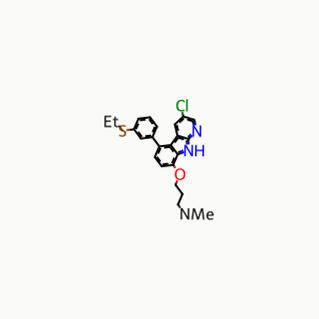 CCSc1cccc(-c2ccc(OCCCNC)c3[nH]c4ncc(Cl)cc4c23)c1